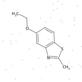 CCOc1ccc2sc(C)nc2c1